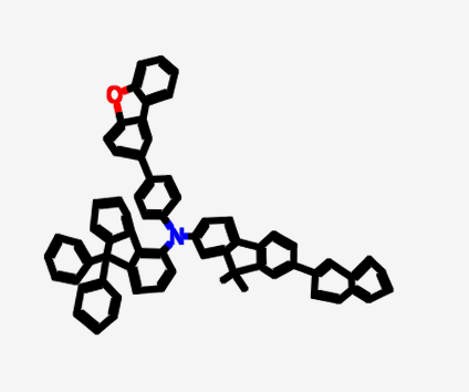 CC1(C)c2cc(-c3ccc4ccccc4c3)ccc2-c2ccc(N(c3ccc(-c4ccc5oc6ccccc6c5c4)cc3)c3cccc4c3-c3ccccc3C4(c3ccccc3)c3ccccc3)cc21